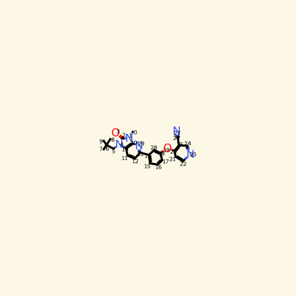 Cn1c(=O)n(CC(C)(C)C)c2ccc(-c3cccc(Oc4ccncc4C#N)c3)nc21